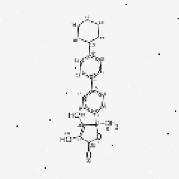 CC1(c2ccc(-c3ccc(C4CCCCC4)cc3)cc2)OC(=O)C(O)=C1O